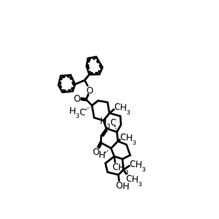 CC12CC[C@](C)(C(=O)OC(c3ccccc3)c3ccccc3)CC1C1=CC(=O)[C@@H]3C4(C)CCC(O)C(C)(C)C4CCC3(C)[C@]1(C)CC2